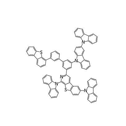 c1cc(-c2cc(-c3cc4c(sc5ccc(-n6c7ccccc7c7ccccc76)cc54)c(-n4c5ccccc5c5ccccc54)n3)cc(-n3c4ccccc4c4cc(-n5c6ccccc6c6ccccc65)ccc43)c2)cc(-c2cccc3c2sc2ccccc23)c1